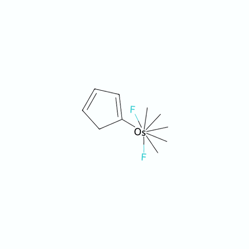 [CH3][Os]([CH3])([CH3])([CH3])([CH3])([F])([F])[C]1=CC=CC1